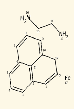 C1=Cc2cccc3cccc(c23)C1.NCCN.[Fe]